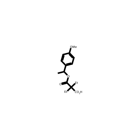 CCC(CC)(C(=O)O)C(=O)OC(C)c1ccc(OC)cc1